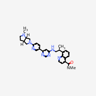 CNC(=O)c1ccnc2c([C@H](C)CNc3cc(-c4ccc(N5C[C@@H]6CCN(C)[C@@H]6C5)nc4)ncn3)cccc12